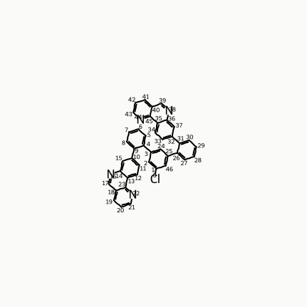 Clc1cc(-c2ccccc2-c2ccc3c(c2)ncc2cccnc23)cc(-c2ccccc2-c2ccc3c(c2)ncc2cccnc23)c1